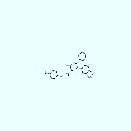 COC(=O)c1ccc(COC(=O)c2nc(-c3cc(Cl)c4[nH]ncc4c3)c(-c3ccccc3)nc2N)cc1